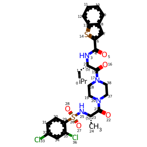 CC(C)C[C@H](NC(=O)c1cc2ccccc2s1)C(=O)N1CCN(C(=O)[C@H](C)NS(=O)(=O)c2ccc(Cl)cc2Cl)CC1